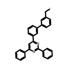 ICc1cccc(-c2cccc(-c3cc(-c4ccccc4)nc(-c4ccccc4)n3)c2)c1